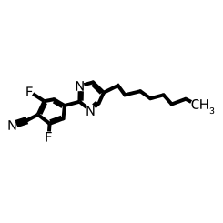 CCCCCCCCc1cnc(-c2cc(F)c(C#N)c(F)c2)nc1